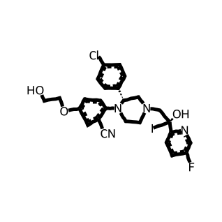 N#Cc1cc(OCCO)ccc1N1CCN(C[C@](O)(I)c2ccc(F)cn2)C[C@H]1c1ccc(Cl)cc1